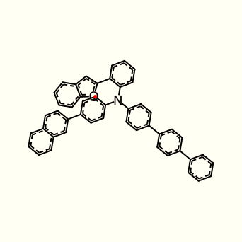 c1ccc(-c2ccc(-c3ccc(N(c4ccc(-c5ccc6ccccc6c5)cc4)c4ccccc4-c4cc5ccccc5o4)cc3)cc2)cc1